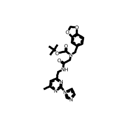 Cc1cc(CNC(=O)CN(Cc2ccc3c(c2)OCO3)C(=O)OC(C)(C)C)nc(-n2ccnc2)n1